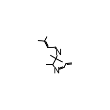 C=C/C=N\C(C)C(C)(C)/N=C\C=C(C)C